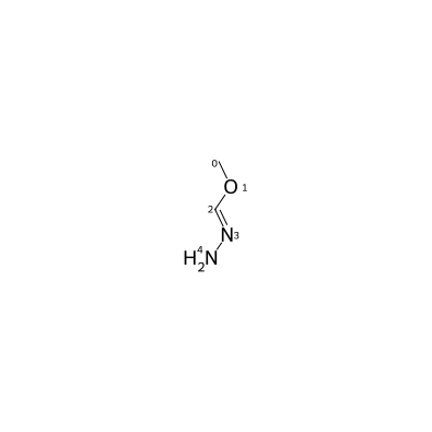 COC=NN